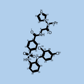 CCCN(C(=O)CNC(=O)c1ccc(S(=O)(=O)Nc2ccccc2Oc2ccc(Cl)cc2Cl)cc1)n1ccnc1